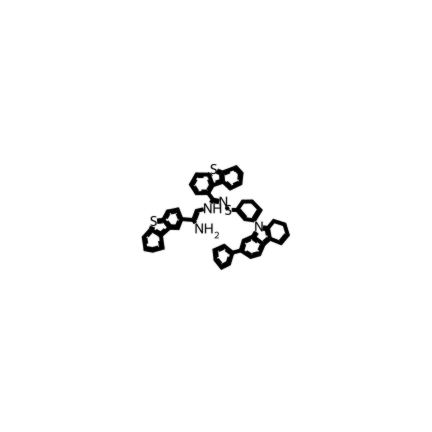 N/C(=C\N/C(=N\SC1=CC(n2c3c(c4ccc(-c5ccccc5)cc42)C=CCC3)=CCC1)c1cccc2sc3ccccc3c12)c1ccc2sc3ccccc3c2c1